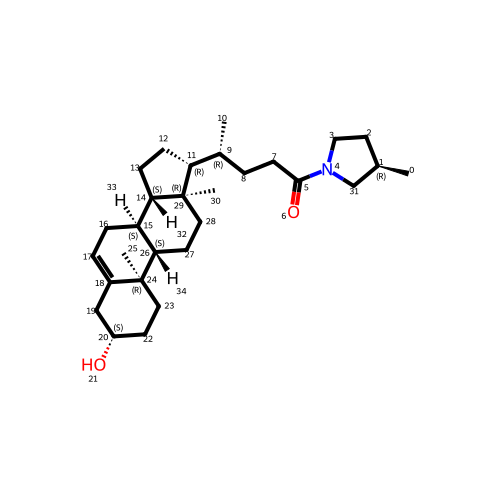 C[C@@H]1CCN(C(=O)CC[C@@H](C)[C@H]2CC[C@H]3[C@@H]4CC=C5C[C@@H](O)CC[C@]5(C)[C@H]4CC[C@]23C)C1